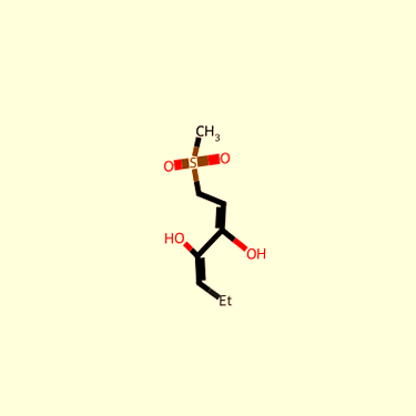 CC/C=C(O)\C(O)=C/CS(C)(=O)=O